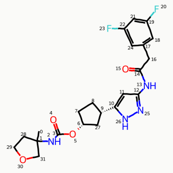 CC1(NC(=O)O[C@@H]2CC[C@H](c3cc(NC(=O)Cc4cc(F)cc(F)c4)n[nH]3)C2)CCOC1